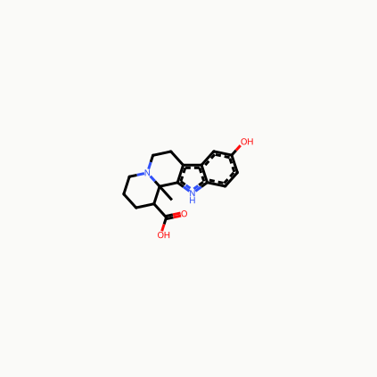 CC12c3[nH]c4ccc(O)cc4c3CCN1CCCC2C(=O)O